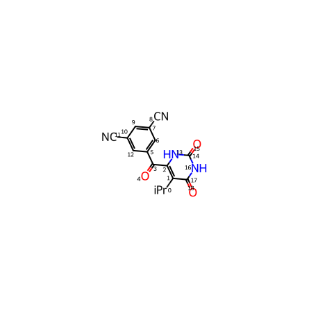 CC(C)c1c(C(=O)c2cc(C#N)cc(C#N)c2)[nH]c(=O)[nH]c1=O